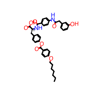 CCCCCCCOc1ccc(C(=O)Oc2ccc(C[C@H](NC(=O)c3ccc(NC(=O)Cc4cccc(O)c4)cc3)C(=O)O)cc2)cc1